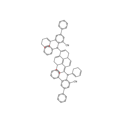 N#Cc1cc(-c2ccccc2)cc(-c2ccccc2)c1N(C1=CC=CCC1)C1=C2C=CC3CC=C(N(c4ccccc4)c4c(C#N)cc(-c5ccccc5)cc4C4=CCCC=C4)C4=CCC(C=C1)C2=C43